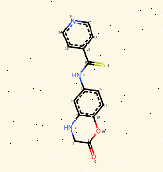 O=C1CNc2cc(NC(=S)c3ccncc3)ccc2O1